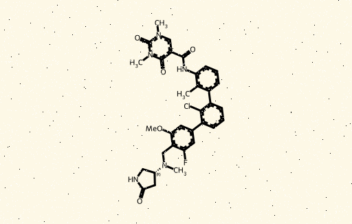 COc1cc(-c2cccc(-c3cccc(NC(=O)c4cn(C)c(=O)n(C)c4=O)c3C)c2Cl)cc(F)c1CN(C)[C@H]1CNC(=O)C1